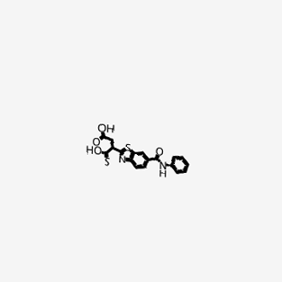 O=C(O)CC(C(O)=S)c1nc2ccc(C(=O)Nc3ccccc3)cc2s1